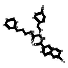 O=C(N[C@@H](CCc1ccc(Cl)cc1)C(=O)NCCCc1ccccc1)c1ccc2cc(F)ccc2c1